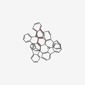 c1ccc(-c2ccc(-c3ccccc3N(c3ccc4c(c3)C3(c5ccccc5-c5ccccc53)c3cccc5c6ccccc6n-4c35)c3ccccc3-c3ccccc3-c3ccccc3)cc2)cc1